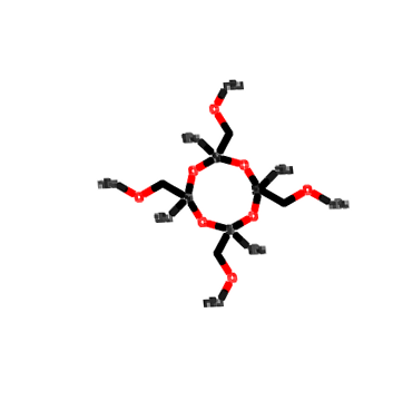 CCCCOC[Si]1(C(C)(C)C)O[Si](COCCCC)(C(C)(C)C)O[Si](COCCCC)(C(C)(C)C)O[Si](COCCCC)(C(C)(C)C)O1